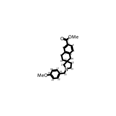 COC(=O)c1ccc2c(c1)CCC1(CCN(Cc3ccc(OC)cc3)C1)C2